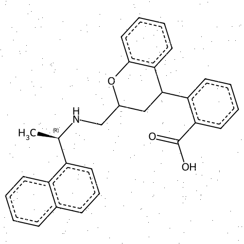 C[C@@H](NCC1CC(c2ccccc2C(=O)O)c2ccccc2O1)c1cccc2ccccc12